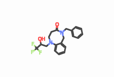 O=C1CCN(CC(O)C(F)(F)F)c2ccccc2CN1Cc1ccccc1